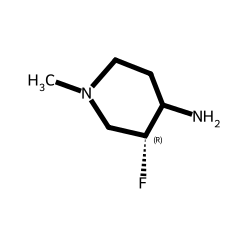 CN1CCC(N)[C@H](F)C1